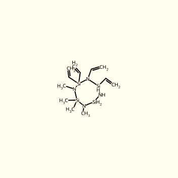 C=CN1[SiH](C=C)N[SiH2]N(C)[Si](C)(C)N(C)[Si]1(C=C)C=C